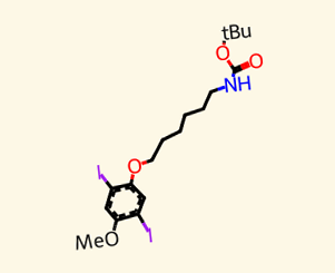 COc1cc(I)c(OCCCCCCNC(=O)OC(C)(C)C)cc1I